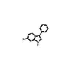 Fc1ccc2c(-c3ccccc3)c[nH]c2c1